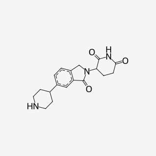 O=C1CCC(N2Cc3ccc(C4CCNCC4)cc3C2=O)C(=O)N1